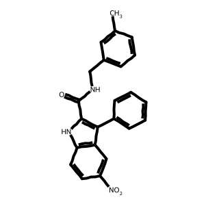 Cc1cccc(CNC(=O)c2[nH]c3ccc([N+](=O)[O-])cc3c2-c2ccccc2)c1